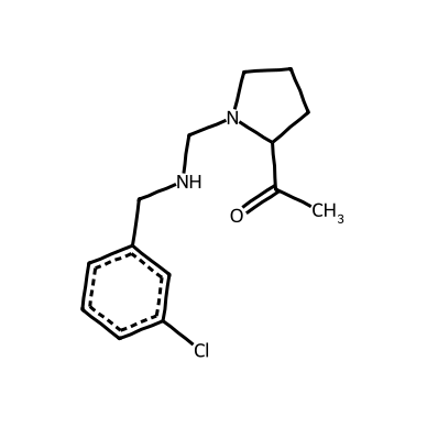 CC(=O)C1CCCN1CNCc1cccc(Cl)c1